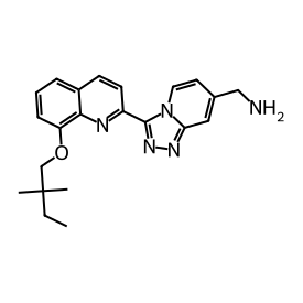 CCC(C)(C)COc1cccc2ccc(-c3nnc4cc(CN)ccn34)nc12